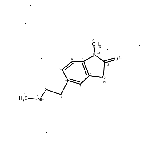 CNCCc1ccc2c(c1)oc(=O)n2C